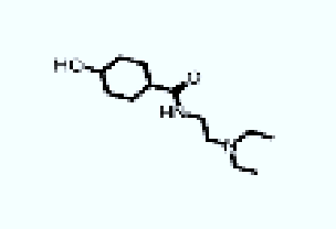 CCN(CC)CCNC(=O)C1CCC(O)CC1